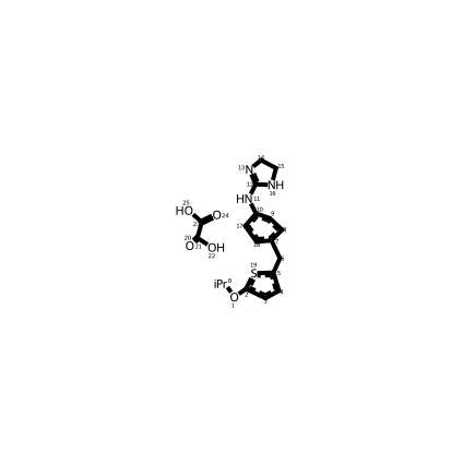 CC(C)Oc1ccc(Cc2ccc(NC3=NCCN3)cc2)s1.O=C(O)C(=O)O